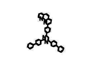 c1ccc(-c2ccc(-c3cc(-c4ccc(-c5ccc6ccc7cccnc7c6n5)cc4)nc(-c4ccc(-c5ccccc5)cc4)n3)cc2)cc1